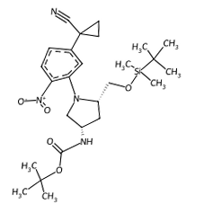 CC(C)(C)OC(=O)N[C@H]1C[C@@H](CO[Si](C)(C)C(C)(C)C)N(c2cc(C3(C#N)CC3)ccc2[N+](=O)[O-])C1